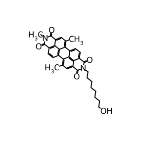 Cc1cc2c3c(ccc4c5c(C)cc6c7c(ccc(c1c34)c75)C(=O)N(CCCCCCCCO)C6=O)C(=O)N(C)C2=O